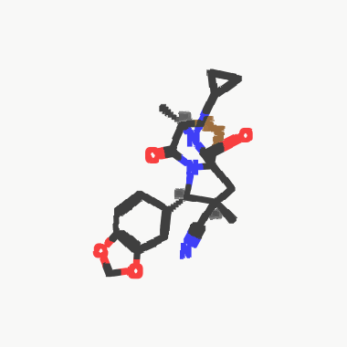 C[C@]1(C#N)CC23SS[C@](C)(C(=O)N2[C@H]1c1ccc2c(c1)OCO2)N(C1CC1)C3=O